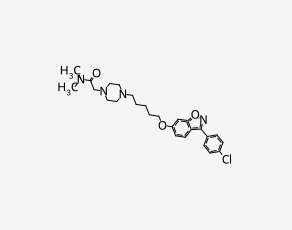 CN(C)C(=O)CN1CCN(CCCCCOc2ccc3c(-c4ccc(Cl)cc4)noc3c2)CC1